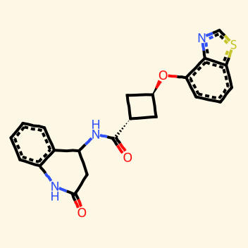 O=C1CC(NC(=O)[C@H]2C[C@H](Oc3cccc4scnc34)C2)c2ccccc2N1